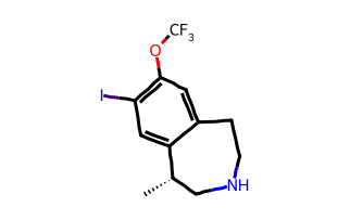 C[C@H]1CNCCc2cc(OC(F)(F)F)c(I)cc21